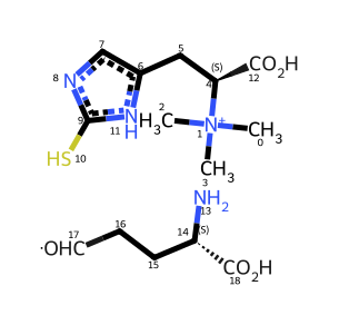 C[N+](C)(C)[C@@H](Cc1cnc(S)[nH]1)C(=O)O.N[C@@H](CC[C]=O)C(=O)O